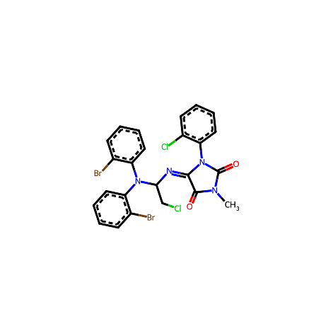 CN1C(=O)/C(=N\C(CCl)N(c2ccccc2Br)c2ccccc2Br)N(c2ccccc2Cl)C1=O